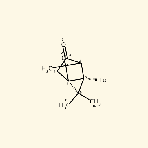 CC1(Cl)C2C(=O)C[C@]13[C@@H]2C3(C)C